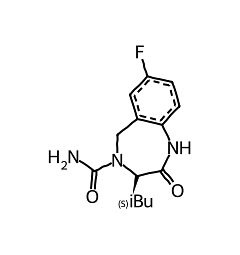 CC[C@H](C)C1C(=O)Nc2ccc(F)cc2CN1C(N)=O